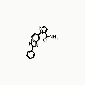 NC(=O)c1ccnn1-c1ccn2nc(-c3ccccc3)nc2c1